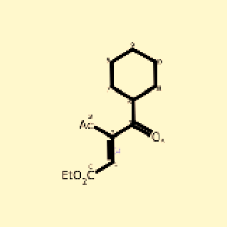 CCOC(=O)/C=C(\C(C)=O)C(=O)C1CCCCC1